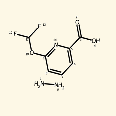 NN.O=C(O)c1cccc(OC(F)F)n1